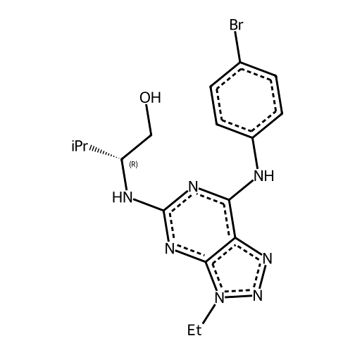 CCn1nnc2c(Nc3ccc(Br)cc3)nc(N[C@@H](CO)C(C)C)nc21